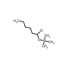 CCCCCC(Cl)O[Si](C)(C)C